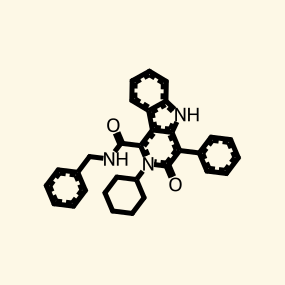 O=C(NCc1ccccc1)c1c2c([nH]c3ccccc32)c(-c2ccccc2)c(=O)n1C1CCCCC1